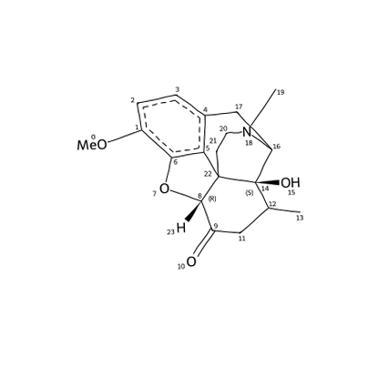 COc1ccc2c3c1O[C@H]1C(=O)CC(C)[C@@]4(O)C(C2)N(C)CCC314